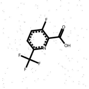 O=C(O)c1nc(C(F)(F)F)ccc1F